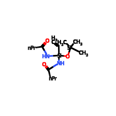 C=C[Si](NC(=O)CCC)(NC(=O)CCC)O[Si](C)(C)C